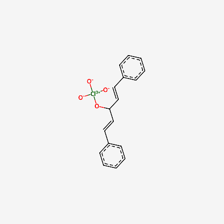 [O-][Cl+3]([O-])([O-])OC(C=Cc1ccccc1)C=Cc1ccccc1